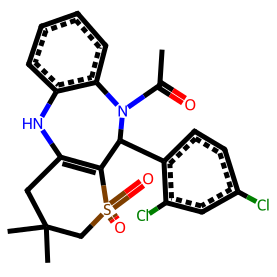 CC(=O)N1c2ccccc2NC2=C(C1c1ccc(Cl)cc1Cl)S(=O)(=O)CC(C)(C)C2